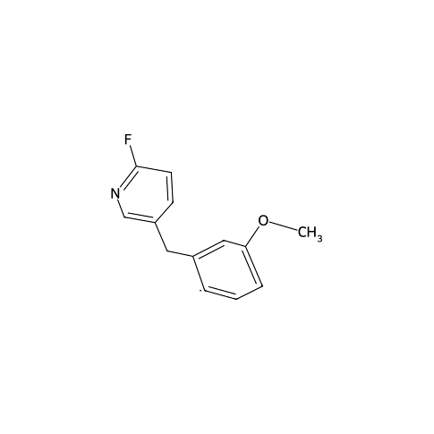 COc1cc[c]c(Cc2ccc(F)nc2)c1